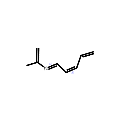 C=C/C=C\C=N\C(=C)C